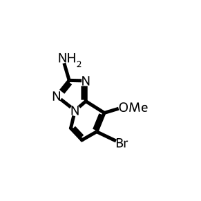 COc1c(Br)ccn2nc(N)nc12